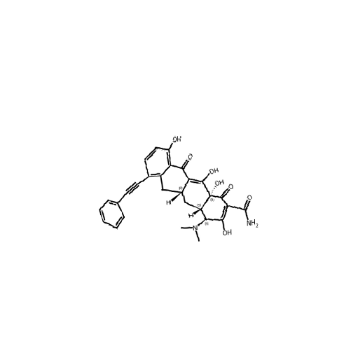 CN(C)[C@@H]1C(O)=C(C(N)=O)C(=O)[C@]2(O)C(O)=C3C(=O)c4c(O)ccc(C#Cc5ccccc5)c4C[C@H]3C[C@@H]12